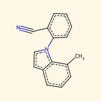 Cc1cccc2ccn(-c3ccccc3C#N)c12